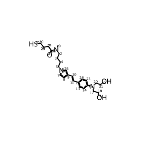 CN(CCCCn1ccc(/C=C/c2ccc(N(CCO)CCO)cc2)c1)C(=O)CCCS